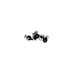 CN(C)c1ccc(Cn2cc3c(S(C)(=O)=O)cc(NC(=O)Cc4ccccc4Cl)cc3n2)cn1